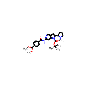 COC(OC)c1ccc(C(=O)Nc2cc3c(cn2)cc([C@H]2CCCN2C)n3C(=O)OC(C)(C)C)cc1